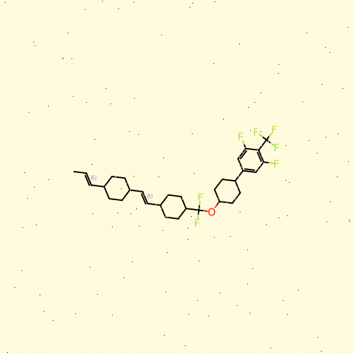 C/C=C/C1CCC(/C=C/C2CCC(C(F)(F)OC3CCC(c4cc(F)c(C(F)(F)F)c(F)c4)CC3)CC2)CC1